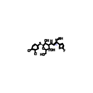 N=N/C(=C\NC1C(O)[C@@H](Sc2ccc(Cl)c(Cl)c2)OC(CO)[C@@H]1O)c1ccc(F)s1